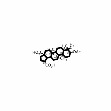 CC(=O)O[C@H]1CC[C@@]2(C)C(CC[C@]3(C)C2CCC2C4[C@H](C(=O)O)CC[C@]4(C(=O)O)CC[C@]23C)C1(C)C